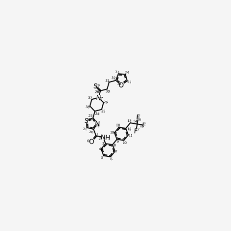 O=C(Nc1ccccc1-c1ccc(CC(F)(F)F)cc1)c1csc(C2CCN(C(=S)CCc3ccco3)CC2)n1